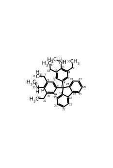 CCc1cc(C2(c3cc(CC)c(NC)c(CC)c3)c3ccccc3-c3ccccc32)cc(CC)c1NC